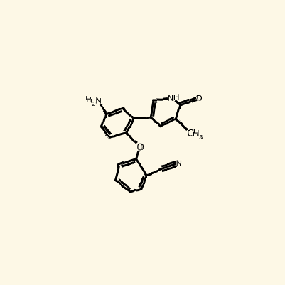 Cc1cc(-c2cc(N)ccc2Oc2ccccc2C#N)c[nH]c1=O